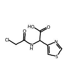 O=C(CCl)NC(C(=O)O)c1cscn1